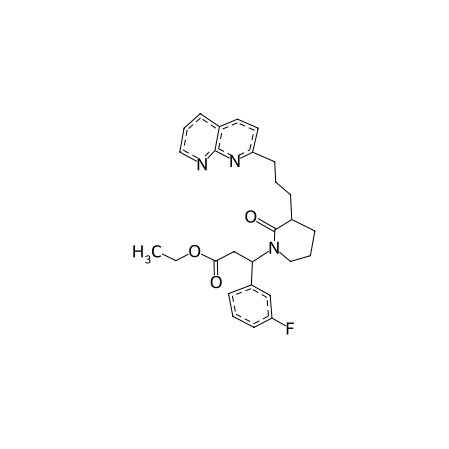 CCOC(=O)CC(c1cccc(F)c1)N1CCCC(CCCc2ccc3cccnc3n2)C1=O